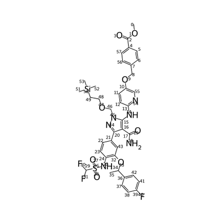 COC(=O)c1ccc(COc2ccc(Nc3c(C(N)=O)c(-c4ccc(NS(=O)(=O)C(F)F)c(OC(C)c5ccc(F)cc5)c4)nn3COCC[Si](C)(C)C)nc2)cc1